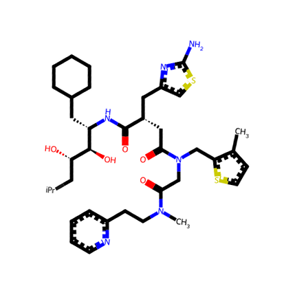 Cc1ccsc1CN(CC(=O)N(C)CCc1ccccn1)C(=O)C[C@@H](Cc1csc(N)n1)C(=O)N[C@@H](CC1CCCCC1)[C@@H](O)[C@@H](O)CC(C)C